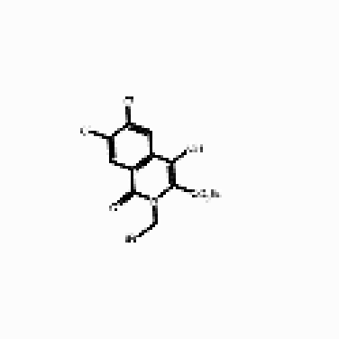 CCOC(=O)c1c(O)c2cc(Cl)c(Cl)cc2c(=O)n1CC(C)C